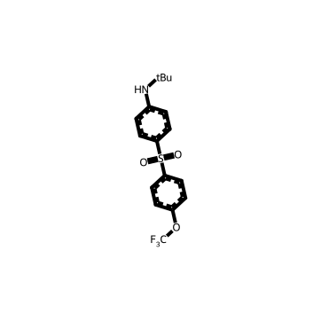 CC(C)(C)Nc1ccc(S(=O)(=O)c2ccc(OC(F)(F)F)cc2)cc1